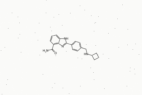 NC(=O)c1cccc2[nH]c(-c3ccc(CNC4CCC4)cc3)nc12